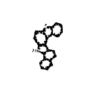 c1ccc2c(c1)ccc1c2[nH]c2ccc3sc4ccccc4c3c21